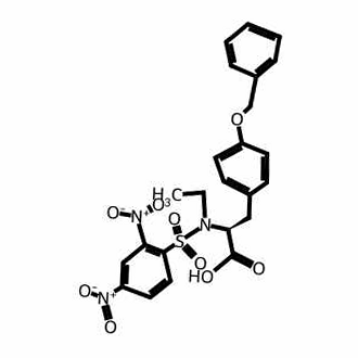 CCN([C@@H](Cc1ccc(OCc2ccccc2)cc1)C(=O)O)S(=O)(=O)c1ccc([N+](=O)[O-])cc1[N+](=O)[O-]